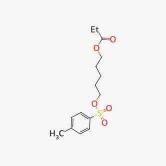 CCC(=O)OCCCCCOS(=O)(=O)c1ccc(C)cc1